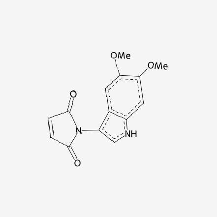 COc1cc2[nH]cc(N3C(=O)C=CC3=O)c2cc1OC